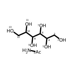 CC(N)=O.OCC(O)C(O)C(O)C(O)CO